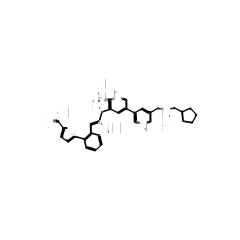 CC(=O)c1ccc(-c2cccc3[nH]c(-c4n[nH]c5ncc(-c6cncc(CNCC7CCCC7)c6)cc45)cc23)s1